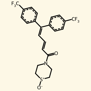 O=C(/C=C/C=C(c1ccc(C(F)(F)F)cc1)c1ccc(C(F)(F)F)cc1)N1CC[S+]([O-])CC1